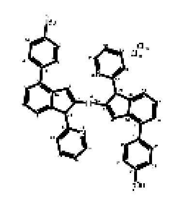 CC(C)(C)c1ccc(-c2cccc3c2C=[C]([Hf+2][C]2=Cc4c(-c5ccc(C(C)(C)C)cc5)cccc4C2c2ccccn2)C3c2ccccn2)cc1.[Cl-].[Cl-]